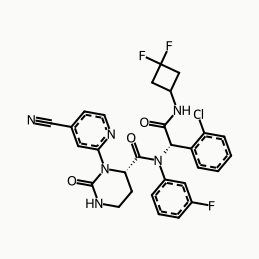 N#Cc1ccnc(N2C(=O)NCC[C@H]2C(=O)N(c2cccc(F)c2)[C@H](C(=O)NC2CC(F)(F)C2)c2ccccc2Cl)c1